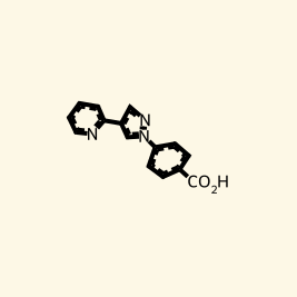 O=C(O)c1ccc(-n2cc(-c3ccccn3)cn2)cc1